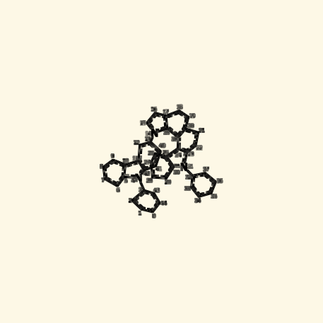 c1ccc(-n2c3ccccc3c3cc(-n4ccc5ccc6ccc7c(c8ccccc8n7-c7ccccc7)c6c54)ccc32)cc1